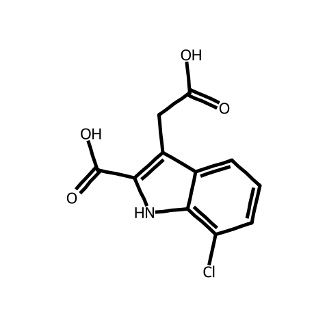 O=C(O)Cc1c(C(=O)O)[nH]c2c(Cl)cccc12